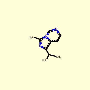 Cc1nc(C(C)C)c2ccncn12